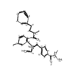 Cc1ccc(C(=O)N(C)CCc2ccccc2)c(N(C=O)Cc2ccc(C(=O)NO)cc2)c1